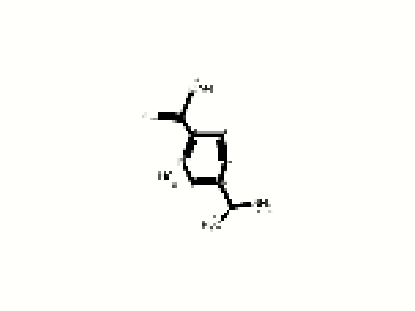 COC(=O)c1ccc([C@H](C)N)cn1.Cl